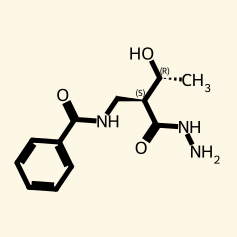 C[C@@H](O)[C@H](CNC(=O)c1ccccc1)C(=O)NN